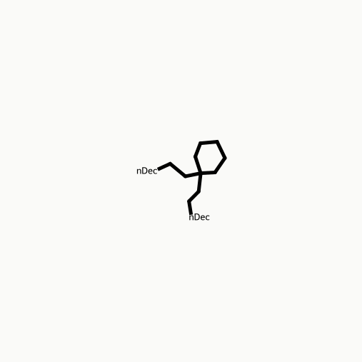 CCCCCCCCCCCCC1(CCCCCCCCCCCC)CCCCC1